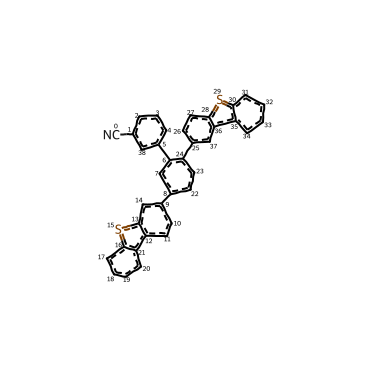 N#Cc1cccc(-c2cc(-c3ccc4c(c3)sc3ccccc34)ccc2-c2ccc3sc4ccccc4c3c2)c1